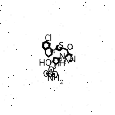 NS(=O)(=O)OC[C@H]1C[C@@H](Nc2ncncc2C(=O)c2cc([C@@H]3CCCc4ccc(Cl)cc43)cs2)C[C@@H]1O